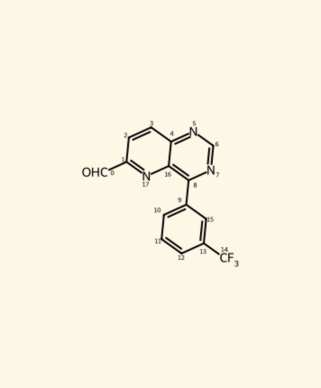 O=Cc1ccc2ncnc(-c3cccc(C(F)(F)F)c3)c2n1